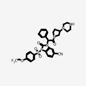 N#Cc1ccc2c(c1)n(C(C(=O)N1CCC(N3CCNCC3)C1)c1ccccc1)c(=O)n2S(=O)(=O)c1ccc(OCC(F)(F)F)cc1